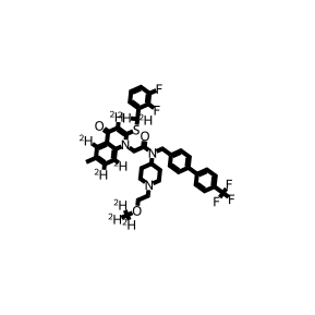 [2H]c1c(C)c([2H])c2c(=O)c([2H])c(SC([2H])([2H])c3cccc(F)c3F)n(CC(=O)N(Cc3ccc(-c4ccc(C(F)(F)F)cc4)cc3)C3CCN(CCOC([2H])([2H])[2H])CC3)c2c1[2H]